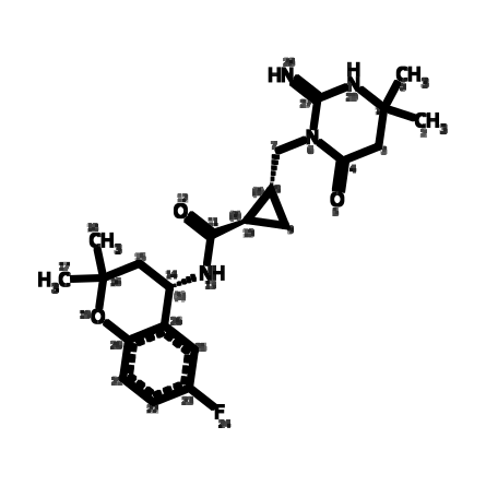 CC1(C)CC(=O)N(C[C@@H]2C[C@H]2C(=O)N[C@H]2CC(C)(C)Oc3ccc(F)cc32)C(=N)N1